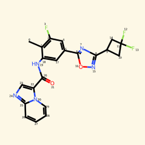 Cc1c(F)cc(-c2nc(C3CC(F)(F)C3)no2)cc1NC(=O)c1cnc2ccccn12